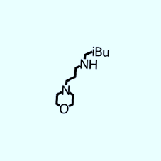 CCC(C)CNCCCN1CCOCC1